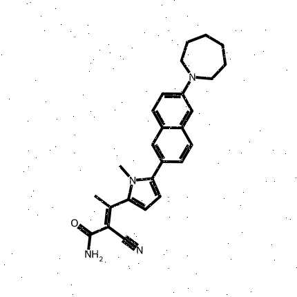 C/C(=C(/C#N)C(N)=O)c1ccc(-c2ccc3cc(N4CCCCCC4)ccc3c2)n1C